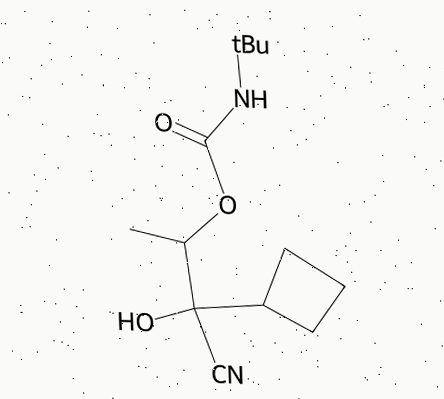 CC(OC(=O)NC(C)(C)C)C(O)(C#N)C1CCC1